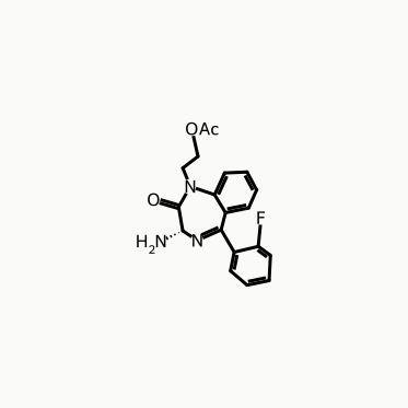 CC(=O)OCCN1C(=O)[C@@H](N)N=C(c2ccccc2F)c2ccccc21